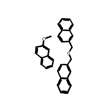 COc1ccc2ccccc2c1.c1ccc2cc(COCc3ccc4ccccc4c3)ccc2c1